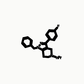 CCCN1CCc2c(c(-c3ccc(F)cc3)nn2Cc2ccccc2)C1